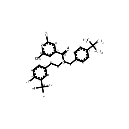 CC(C)(C)c1ccc(CN(CCc2ccc(F)c(C(F)(F)F)c2)C(=O)c2cc(Cl)nc(Cl)c2)cc1